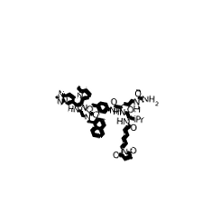 Cc1cccc(-c2nc(CN(Cc3cccc4ccccc34)C(=O)OCc3ccc(NC(=O)[C@H](CCCNC(N)=O)NC(=O)C(NC(=O)CCCCCN4C(=O)C=CC4=O)C(C)C)cc3)[nH]c2-c2ccc3ncnn3c2)n1